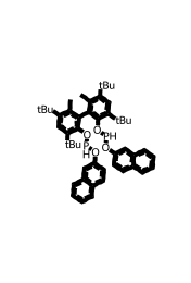 Cc1c(C(C)(C)C)cc(C(C)(C)C)c(OPOc2ccc3ccccc3c2)c1-c1c(C)c(C(C)(C)C)cc(C(C)(C)C)c1OPOc1ccc2ccccc2c1